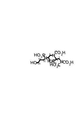 CC(CN(C(=O)O)C(C)CN(C(=O)O)C(=O)O)N(CCCO)C(=O)O